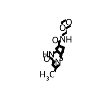 CCc1cc2n(c1)Sc1ccc(C(=O)NCC[C@@H]3COCCO3)cc1NC2=O